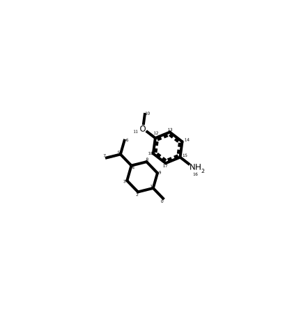 CC1CCC(C(C)C)CC1.COc1ccc(N)cc1